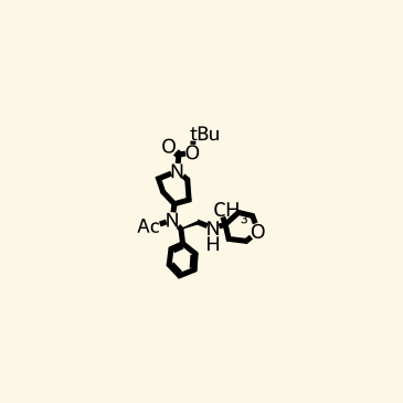 CC(=O)N(C1CCN(C(=O)OC(C)(C)C)CC1)[C@@H](CNC1(C)CCOCC1)c1ccccc1